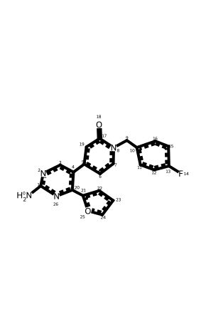 Nc1ncc(-c2ccn(Cc3ccc(F)cc3)c(=O)c2)c(-c2ccco2)n1